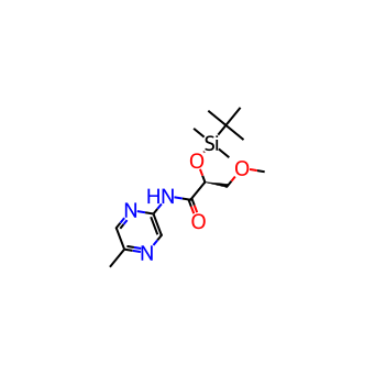 COC[C@H](O[Si](C)(C)C(C)(C)C)C(=O)Nc1cnc(C)cn1